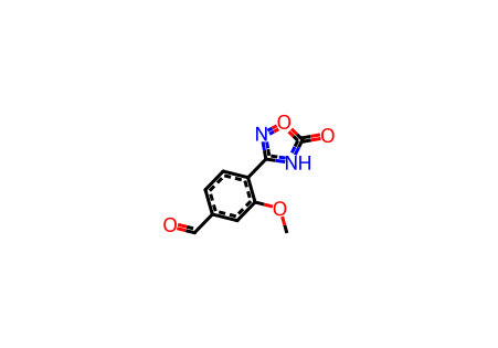 COc1cc(C=O)ccc1-c1noc(=O)[nH]1